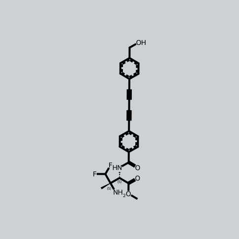 COC(=O)[C@@H](NC(=O)c1ccc(C#CC#Cc2ccc(CO)cc2)cc1)[C@](C)(N)C(F)F